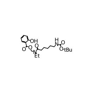 CCN(COC(=O)c1ccccc1O)C(=O)CCCCCNC(=O)OC(C)(C)C